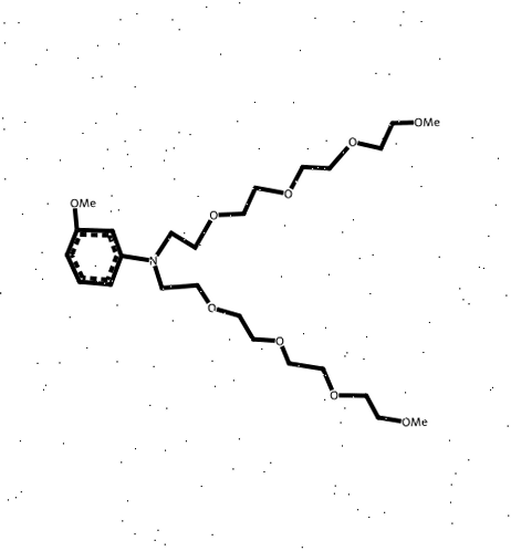 COCCOCCOCCOCCN(CCOCCOCCOCCOC)c1cccc(OC)c1